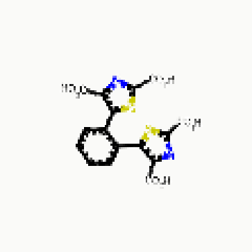 O=C(O)c1nc(C(=O)O)c(-c2ccccc2-c2sc(C(=O)O)nc2C(=O)O)s1